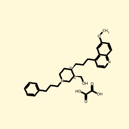 COc1ccc2nccc(CCC[C@@H]3CCN(CCCc4ccccc4)C[C@@H]3CO)c2c1.O=C(O)C(=O)O